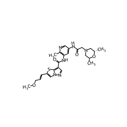 COC/C=C/c1cn2ncc(C(=O)Nc3cc(NC(=O)CN4C[C@H](C)O[C@@H](C)C4)cnc3C)c2s1